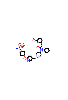 COc1cccc(CC(=O)N(c2ccccc2)C2CCN(Cc3ccc(Oc4ccc(NS(C)(=O)=O)cc4)nc3)CC2)c1